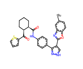 CC(C)(C)c1ccc2oc(-c3c[nH]nc3-c3ccc(NC(=O)[C@@H]4CCCC[C@@H]4C(=O)c4cccs4)cc3)nc2c1